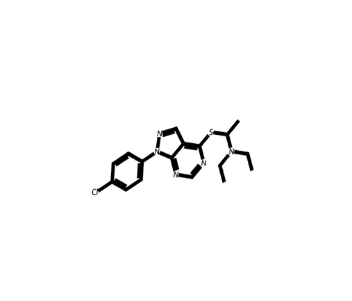 CCN(CC)C(C)Sc1ncnc2c1cnn2-c1ccc(Cl)cc1